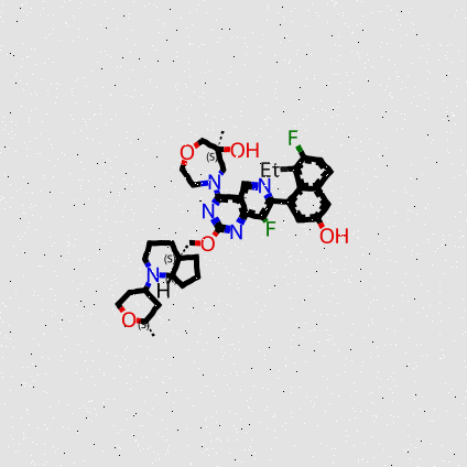 CCc1c(F)ccc2cc(O)cc(-c3ncc4c(N5CCOC[C@@](C)(O)C5)nc(OC[C@]56CCC[C@H]5N(C5CCO[C@@H](C)C5)CCC6)nc4c3F)c12